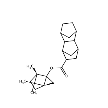 CC1(C)[C@]2(C)CC[C@]13CC23OC(=O)C1CC2CC1C1C3CCC(C3)C21